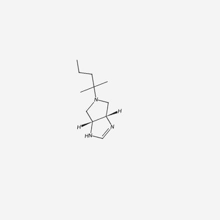 CCCC(C)(C)N1C[C@@H]2N=CN[C@@H]2C1